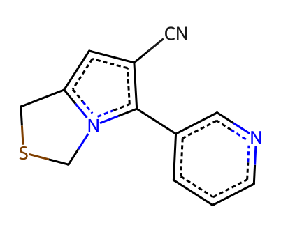 N#Cc1cc2n(c1-c1cccnc1)CSC2